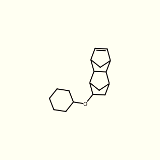 C1=CC2CC1C1C3CC(OC4CCCCC4)C(C3)C21